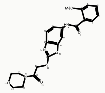 COc1ccccc1C(=O)Nc1ccc2nc(SCC(=O)N3CCOCC3)sc2c1